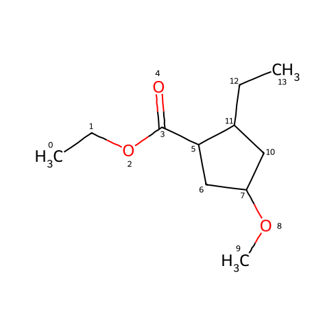 CCOC(=O)C1CC(OC)CC1CC